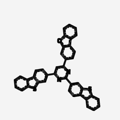 c1ccc2c(c1)oc1cc(-c3cc(-c4ccc5c(c4)sc4ccccc45)nc(-c4ccc5c(c4)sc4ccccc45)n3)ccc12